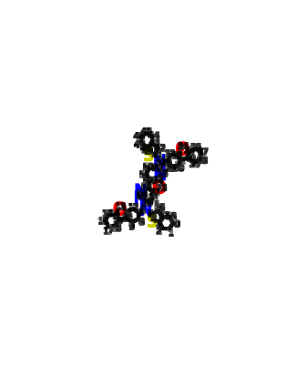 c1ccc2sc(N(c3ccc4c(c3)oc3ccccc34)c3cc4oc5nc(N(c6ccc7c(c6)oc6ccccc67)c6cc7ccccc7s6)ccc5c4nn3)cc2c1